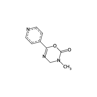 CN1CN=C(c2ccncc2)OC1=O